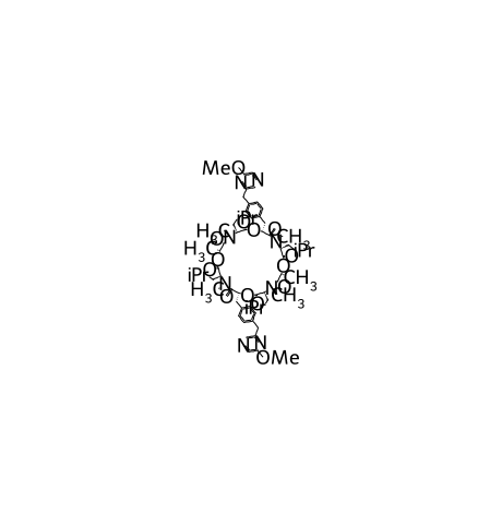 COc1cncc(Cc2ccc(C[C@H]3OC(=O)[C@H](CC(C)C)N(C)C(=O)[C@@H](C)OC(=O)[C@H](CC(C)C)N(C)C(=O)[C@@H](Cc4ccc(Cc5cncc(OC)n5)cc4)OC(=O)[C@H](CC(C)C)N(C)C(=O)[C@@H](C)OC(=O)[C@H](CC(C)C)N(C)C3=O)cc2)n1